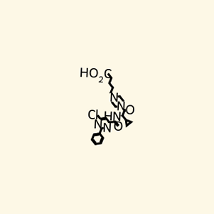 O=C(O)CCCCN1CCN(C(=O)[C@@H](NC(=O)c2cc(Cl)nc(-c3ccccc3)n2)C2CC2)CC1